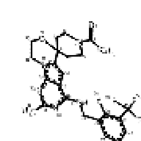 CC(=O)N1CCC2(CC1)OCCn1c2cc2c(NCc3cccc(C(F)(F)F)c3F)nc(C)nc21